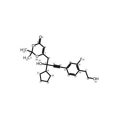 CC1(C)OC(=O)C=C(CC(O)(C#Cc2ccc(CCO)c(F)c2)C2CCCC2)O1